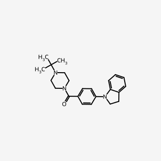 CC(C)(C)N1CCN(C(=O)c2ccc(N3CCc4ccccc43)cc2)CC1